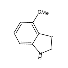 COc1cccc2c1[CH]CN2